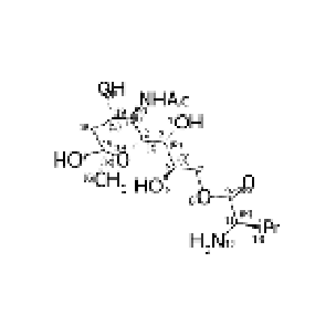 CC(=O)N[C@H]1[C@H]([C@H](O)[C@H](O)COC(=O)[C@H](N)C(C)C)O[C@@](C)(O)C[C@@H]1O